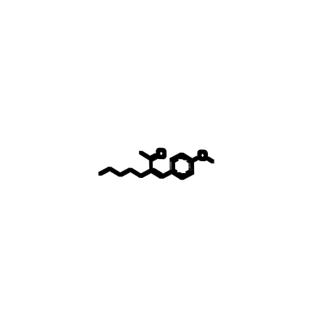 CCCCCC(=Cc1ccc(OC)cc1)C(C)=O